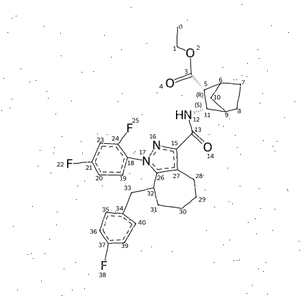 CCOC(=O)[C@@H]1C2CCC(C2)[C@@H]1NC(=O)c1nn(-c2ccc(F)cc2F)c2c1CCCCC2Cc1ccc(F)cc1